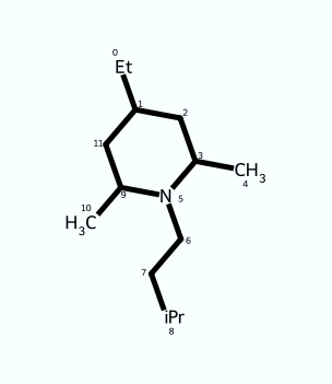 CCC1CC(C)N(CCC(C)C)C(C)C1